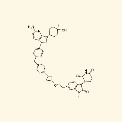 Cn1c(=O)n(C2CCC(=O)NC2=O)c2ccc(CCOC3CC(N4CCN(Cc5ccc(-c6cn([C@H]7CC[C@](C)(O)CC7)c7nc(N)ncc67)cc5)CC4)C3)cc21